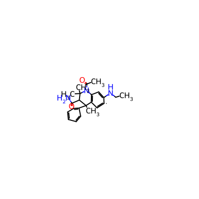 CCNc1[c]cc2c(c1)N(C(C)=O)C(C)(C)C(C(N)=O)C2(C)c1ccccc1